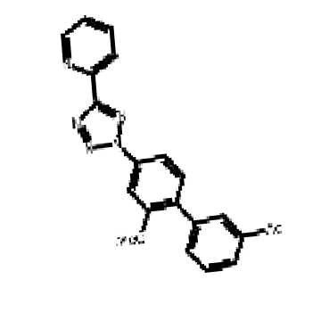 COc1cc(-n2nnc(-c3ccccn3)n2)ccc1-c1cccc(C(C)=O)c1